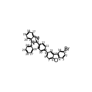 Brc1ccc2oc3ccc(-c4ccc(-c5nc6ccccc6n5-c5ccccc5)cc4)cc3c2c1